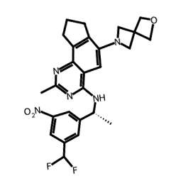 Cc1nc(N[C@H](C)c2cc(C(F)F)cc([N+](=O)[O-])c2)c2cc(N3CC4(COC4)C3)c3c(c2n1)CCC3